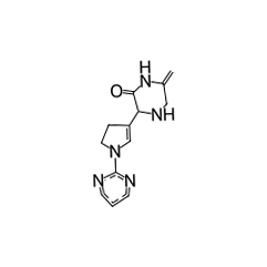 C=C1CNC(C2=CN(c3ncccn3)CC2)C(=O)N1